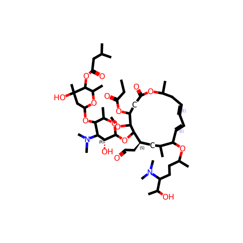 CCC(=O)OC1CC(=O)OC(C)C/C=C/C=C/C(OC(C)CCC(C(C)O)N(C)C)C(C)C[C@@H](CC=O)C(OC2OC(C)C(OC3CC(C)(O)C(OC(=O)CC(C)C)C(C)O3)C(N(C)C)[C@H]2O)C1OC